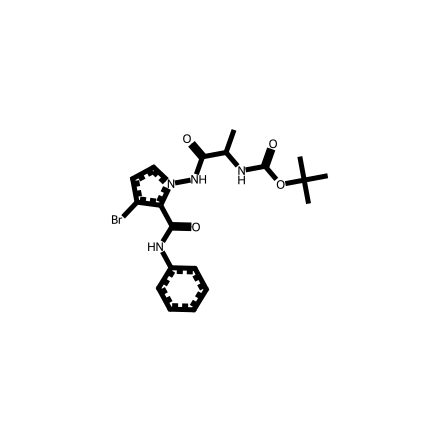 CC(NC(=O)OC(C)(C)C)C(=O)Nn1ccc(Br)c1C(=O)Nc1ccccc1